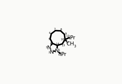 CC(C)N1N=NC2CCCCCC(C)(C(C)C)CC21